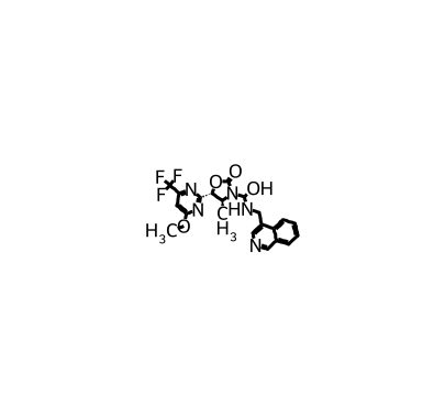 COc1cc(C(F)(F)F)nc([C@@H]2OC(=O)N(C(O)NCc3cncc4ccccc34)[C@H]2C)n1